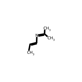 CC=CN=C(C)C